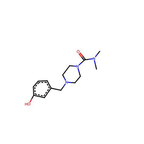 CN(C)C(=O)N1CCN(Cc2cccc(O)c2)CC1